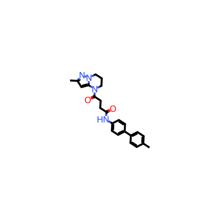 Cc1ccc(-c2ccc(NC(=O)CCC(=O)N3CCCn4nc(C)cc43)cc2)cc1